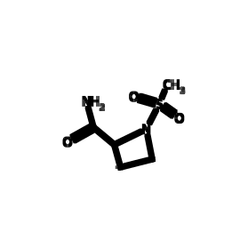 CS(=O)(=O)N1C[CH]C1C(N)=O